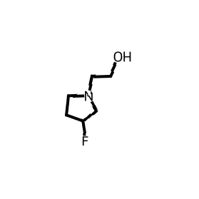 OCCN1CCC(F)C1